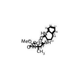 COS(=O)(=O)NC(C)(C)CC(=O)N[C@@H]1CCc2ccccc2NC1=O